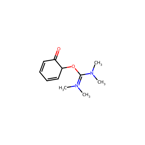 CN(C)C(OC1C=CC=CC1=O)=[N+](C)C